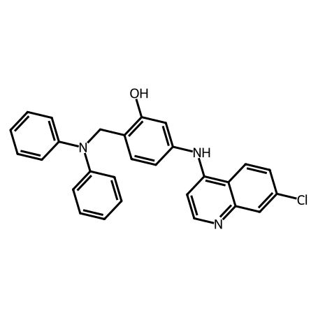 Oc1cc(Nc2ccnc3cc(Cl)ccc23)ccc1CN(c1ccccc1)c1ccccc1